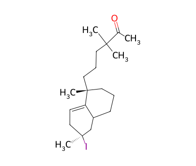 CC(=O)C(C)(C)CCC[C@]1(C)CCCC2C[C@@](C)(I)CC=C21